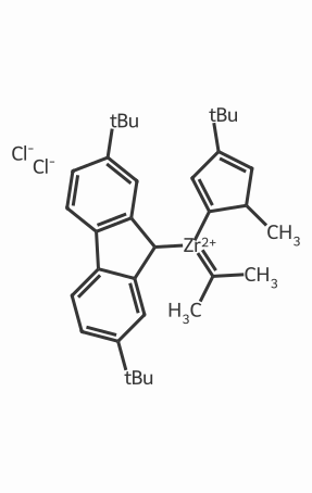 C[C](C)=[Zr+2]([C]1=CC(C(C)(C)C)=CC1C)[CH]1c2cc(C(C)(C)C)ccc2-c2ccc(C(C)(C)C)cc21.[Cl-].[Cl-]